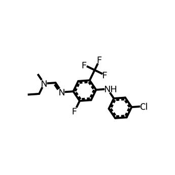 CCN(C)C=Nc1cc(C(F)(F)F)c(Nc2cccc(Cl)c2)cc1F